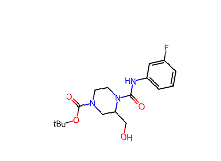 CC(C)(C)OC(=O)N1CCN(C(=O)Nc2cccc(F)c2)C(CO)C1